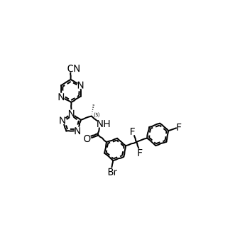 C[C@H](NC(=O)c1cc(Br)cc(C(F)(F)c2ccc(F)cc2)c1)c1ncnn1-c1cnc(C#N)cn1